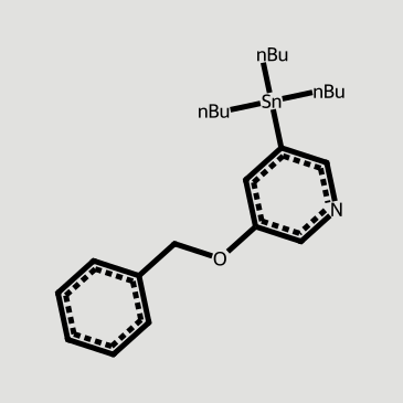 CCC[CH2][Sn]([CH2]CCC)([CH2]CCC)[c]1cncc(OCc2ccccc2)c1